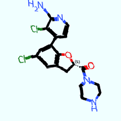 Nc1nccc(-c2cc(Cl)cc3c2O[C@H](C(=O)N2CCNCC2)C3)c1Cl